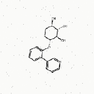 O[C@@H]1[C@@H](O)[C@H](Oc2ccccc2-c2cccnc2)SC[C@H]1O